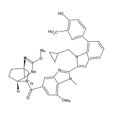 COc1cc(C(=O)N2C[C@H]3CC[C@@H]2[C@@H]3NC(=O)OC(C)(C)C)cc2nc(-c3cc4cccc(-c5ccc(O)c(C(=O)O)c5)c4n3CC3CC3)n(C)c12